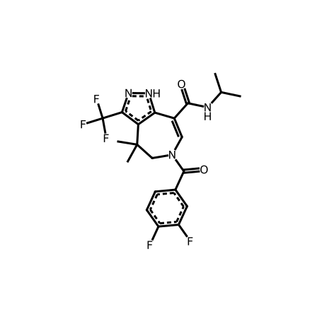 CC(C)NC(=O)C1=CN(C(=O)c2ccc(F)c(F)c2)CC(C)(C)c2c(C(F)(F)F)n[nH]c21